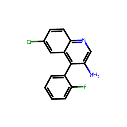 Nc1cnc2ccc(Cl)cc2c1-c1ccccc1F